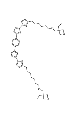 CCC1(COCCCCCCCc2ccc(-c3ccc(-c4ccc(-c5ccc(-c6ccc(CCCCCCOCC7(CC)COC7)s6)s5)cc4)s3)s2)COC1